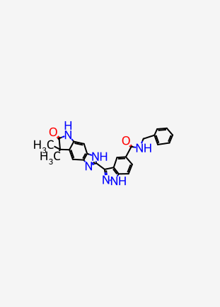 CC1(C)C(=O)Nc2cc3[nH]c(-c4n[nH]c5ccc(C(=O)NCc6ccccc6)cc45)nc3cc21